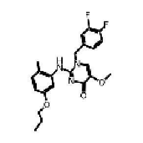 CCCOc1ccc(C)c(Nc2nc(=O)c(OC)cn2Cc2ccc(F)c(F)c2)c1